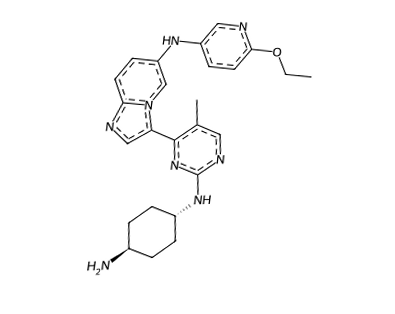 CCOc1ccc(Nc2ccc3ncc(-c4nc(N[C@H]5CC[C@H](N)CC5)ncc4C)n3c2)cn1